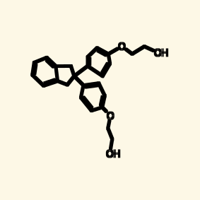 OCCOc1ccc(C2(c3ccc(OCCO)cc3)Cc3ccccc3C2)cc1